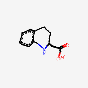 O=C(O)C1[C]Cc2ccccc2N1